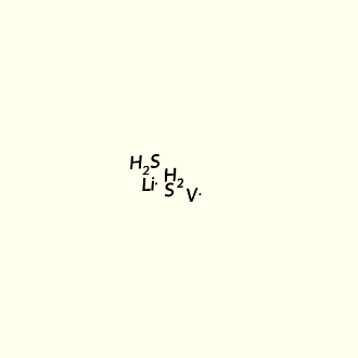 S.S.[Li].[V]